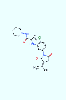 CC(C)=C1CC(=O)N(c2ccc(Cl)c(NC(C)C(=O)NN3CCCCC3)c2)C1=O